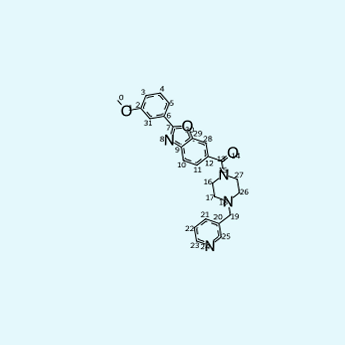 COc1cccc(-c2nc3ccc(C(=O)N4CCN(Cc5cccnc5)CC4)cc3o2)c1